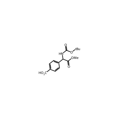 COC(=O)C(NC(=O)OC(C)(C)C)c1ccc(C(=O)O)cc1